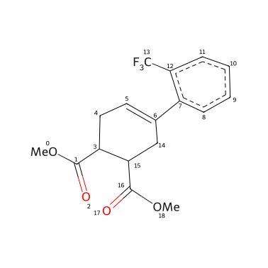 COC(=O)C1CC=C(c2ccccc2C(F)(F)F)CC1C(=O)OC